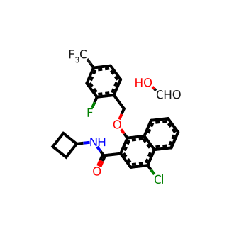 O=C(NC1CCC1)c1cc(Cl)c2ccccc2c1OCc1ccc(C(F)(F)F)cc1F.O=CO